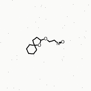 O=NCCOC1CCC2(CCCCC2)O1